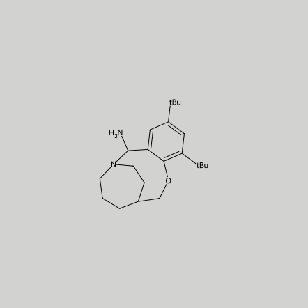 CC(C)(C)c1cc2c(c(C(C)(C)C)c1)OCC1CCCN(CC1)C2N